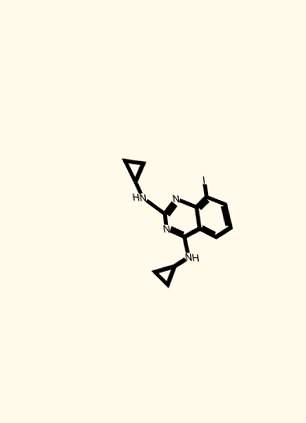 Ic1cccc2c(NC3CC3)nc(NC3CC3)nc12